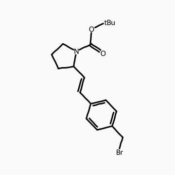 CC(C)(C)OC(=O)N1CCCC1/C=C/c1ccc(CBr)cc1